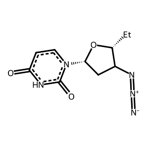 CC[C@H]1O[C@@H](n2ccc(=O)[nH]c2=O)CC1N=[N+]=[N-]